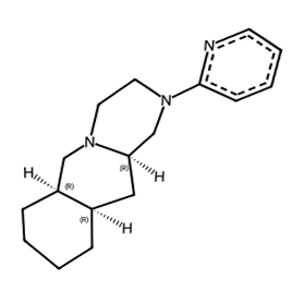 c1ccc(N2CCN3C[C@@H]4CCCC[C@@H]4C[C@@H]3C2)nc1